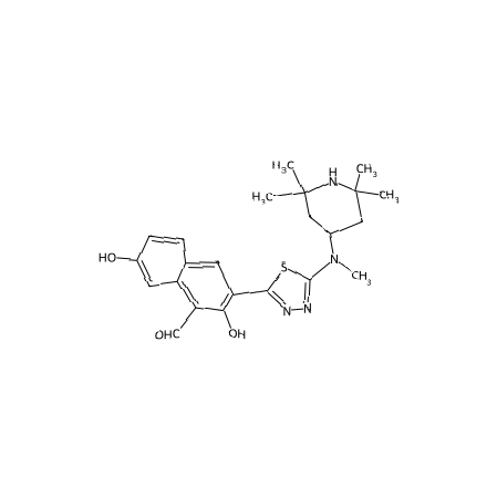 CN(c1nnc(-c2cc3ccc(O)cc3c(C=O)c2O)s1)C1CC(C)(C)NC(C)(C)C1